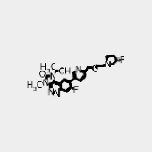 CC(C)n1c(=O)n(C)c2nnc3cc(F)c(-c4ccc(COCCN5CC[C@@H](F)C5)nc4)cc3c21